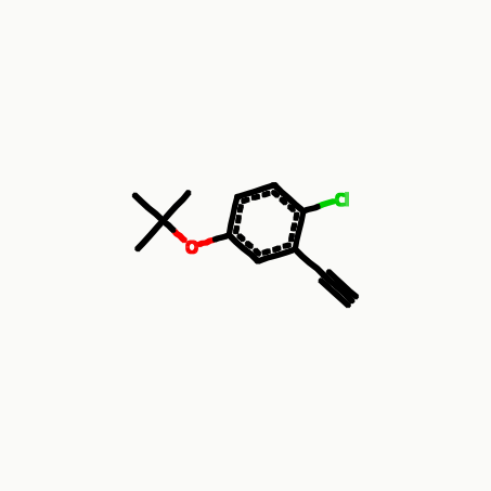 C#Cc1cc(OC(C)(C)C)ccc1Cl